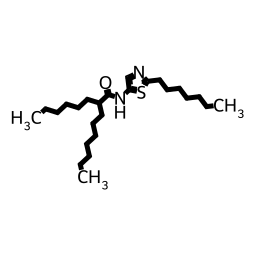 CCCCCCCc1ncc(NC(=O)C(CCCCCC)CCCCCCC)s1